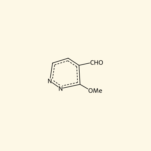 COc1nnccc1C=O